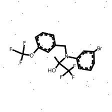 CC(O)(N(Cc1cccc(OC(F)(F)F)c1)c1cccc(Br)c1)C(F)(F)F